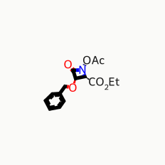 CCOC(=O)[C@@H]1[C@@H](OCc2ccccc2)C(=O)N1OC(C)=O